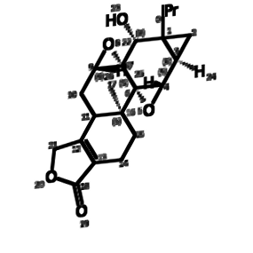 CC(C)C12C[C@H]1[C@@H]1O[C@]13[C@]1(O[C@H]1CC1C4=C(CC[C@@]13C)C(=O)OC4)[C@@H]2O